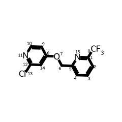 FC(F)(F)c1cccc(COc2ccnc(Cl)c2)n1